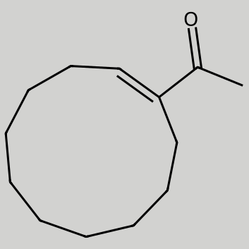 CC(=O)C1=CCCCCCCCCC1